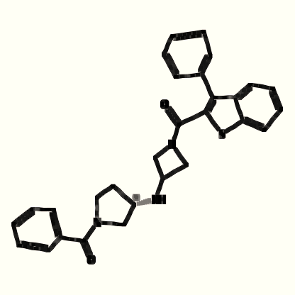 O=C(c1ccccc1)N1CC[C@H](NC2CN(C(=O)c3sc4ccccc4c3-c3ccccc3)C2)C1